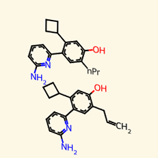 C=CCc1cc(-c2cccc(N)n2)c(C2CCC2)cc1O.CCCc1cc(-c2cccc(N)n2)c(C2CCC2)cc1O